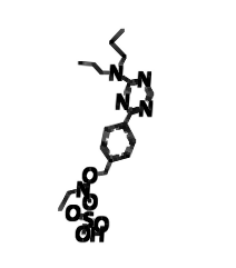 CCCN(CCC)c1ncnc(-c2ccc(CON(CC)OS(=O)(=O)O)cc2)n1